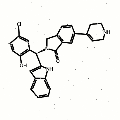 O=C1c2cc(C3=CCNCC3)ccc2CN1[C@@H](c1cc2ccccc2[nH]1)c1cc(Cl)ccc1O